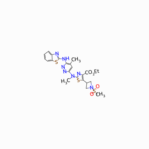 CCOC(=O)c1nc(N(C)c2cc(C)c(Nc3nc4ccccc4s3)nn2)sc1C1CN(S(C)(=O)=O)C1